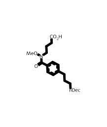 CCCCCCCCCCCCCc1ccc(C(=O)N(CCCC(=O)O)OC)cc1